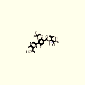 C=C(C)/C(NC(=O)c1cc(F)c(-c2cnc(C)c(C(C)O)n2)cc1O[C@@H](C)C(F)(F)F)=C(/Cl)NC